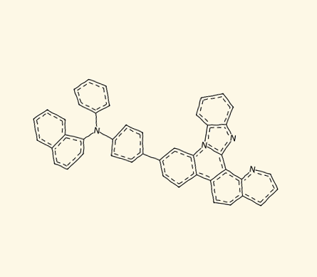 c1ccc(N(c2ccc(-c3ccc4c5ccc6cccnc6c5c5nc6ccccc6n5c4c3)cc2)c2cccc3ccccc23)cc1